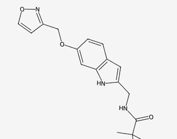 CC1(C(=O)NCc2cc3ccc(OCc4ccon4)cc3[nH]2)CC1